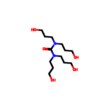 O=C(N(CCCO)CCCO)N(CCCO)CCCO